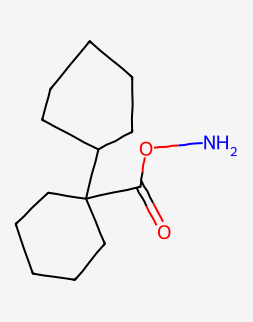 NOC(=O)C1(C2CCCCC2)CCCCC1